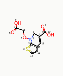 O=C(O)CON1CC(C(=O)O)=Cc2ccsc21